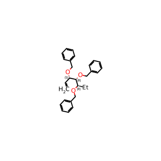 C=C[C@H](OCc1ccccc1)[C@H](OCc1ccccc1)[C@@H](CC)OCc1ccccc1